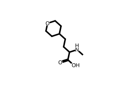 CNC(CCC1CCOCC1)C(=O)O